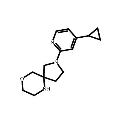 c1cc(C2CC2)cc(N2CCC3(COCCN3)C2)n1